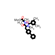 COC(=O)C(C)(C)NC(=O)C(Cc1ccc(-c2ccccc2)cc1)N(C)C(=O)c1cc(C)cc(C)c1